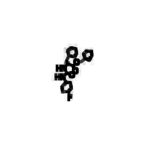 O=C(Nc1ccc(F)cc1)N[C@@H](Cc1ccccc1)C(=O)OCc1ccccc1